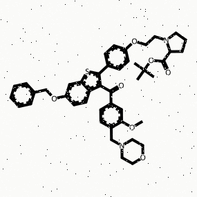 COc1cc(C(=O)c2c(-c3ccc(OCCN4CCCC4C(=O)OC(C)(C)C)cc3)sc3cc(OCc4ccccc4)ccc23)ccc1CN1CCOCC1